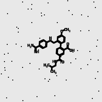 COc1ccc(-c2ccc(C(=O)NCC(C)C)cc2C(=O)O)c(CNc2ccc(C(=N)N)cc2)c1